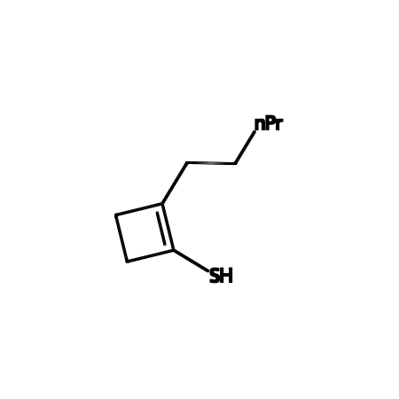 CCCCCC1=C(S)CC1